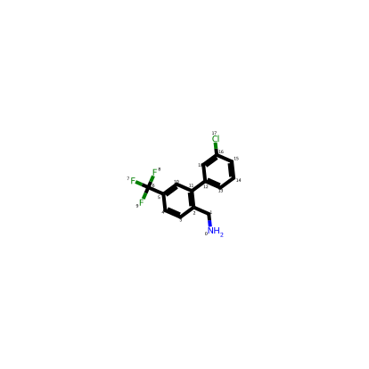 NCc1ccc(C(F)(F)F)cc1-c1cccc(Cl)c1